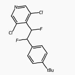 CC(C)(C)c1ccc(C(F)C(F)c2c(Cl)cncc2Cl)cc1